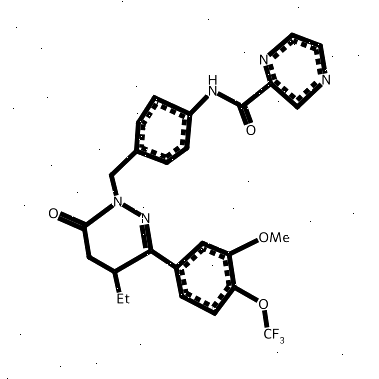 CCC1CC(=O)N(Cc2ccc(NC(=O)c3cnccn3)cc2)N=C1c1ccc(OC(F)(F)F)c(OC)c1